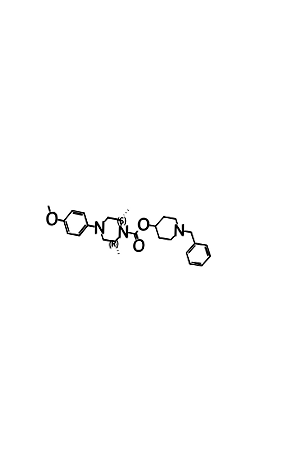 COc1ccc(N2C[C@@H](C)N(C(=O)OC3CCN(Cc4ccccc4)CC3)[C@@H](C)C2)cc1